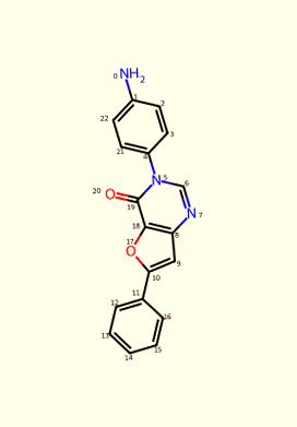 Nc1ccc(-n2cnc3cc(-c4ccccc4)oc3c2=O)cc1